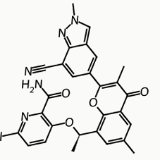 Cc1cc([C@@H](C)Oc2ccc(Cl)nc2C(N)=O)c2oc(-c3cc(C#N)c4nn(C)cc4c3)c(C)c(=O)c2c1